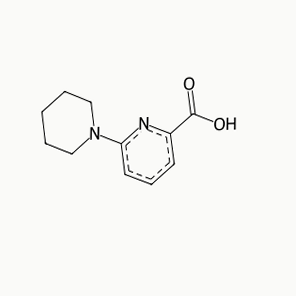 O=C(O)c1cccc(N2CCCCC2)n1